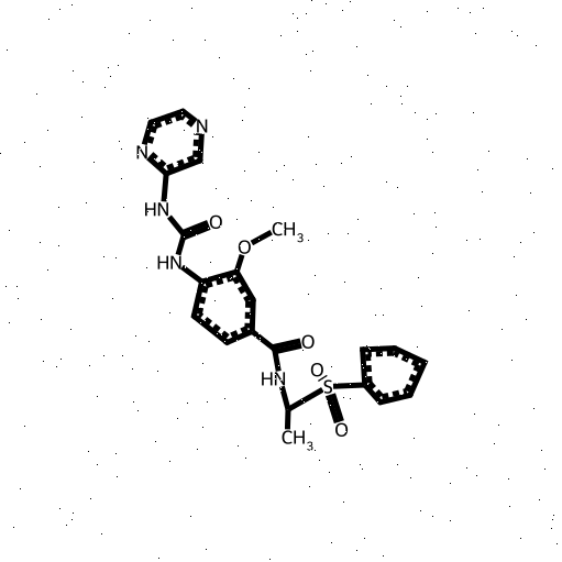 COc1cc(C(=O)NC(C)S(=O)(=O)c2ccccc2)ccc1NC(=O)Nc1cnccn1